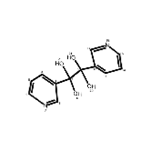 OC(O)(c1cccnc1)C(O)(O)c1cccnc1